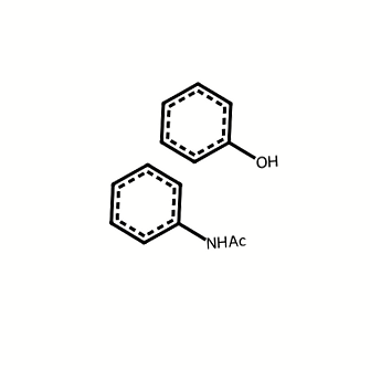 CC(=O)Nc1ccccc1.Oc1ccccc1